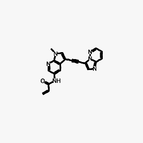 C=CC(=O)Nc1cnc2c(c1)c(C#Cc1cnc3cccnn13)cn2C